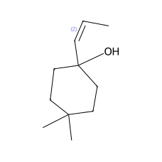 C/C=C\C1(O)CCC(C)(C)CC1